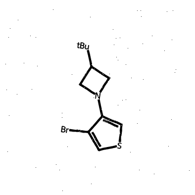 CC(C)(C)C1CN(c2cscc2Br)C1